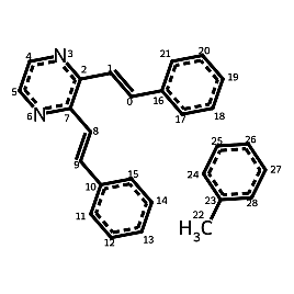 C(=C\c1nccnc1/C=C/c1ccccc1)/c1ccccc1.Cc1ccccc1